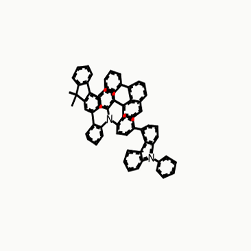 CC1(C)c2ccccc2-c2ccc(-c3ccccc3N(c3ccc(-c4cccc5c4c4ccccc4n5-c4ccccc4)cc3)c3ccccc3-c3cccc4cccc(-c5ccccc5)c34)cc21